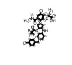 CNC(=O)c1cc(Cl)c(OC(C)(C)C(=O)O)cc1N1C[C@H](NC2CCN(Cc3ccc(Cl)cc3)CC2)[C@@H](OC(=O)C(F)(F)F)C1